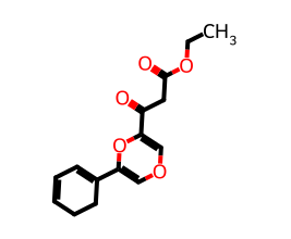 CCOC(=O)CC(=O)C1=COC=C(C2=CC=CCC2)O1